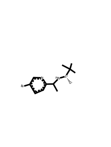 CC(N[S@@+]([O-])C(C)(C)C)c1ccc(Br)cn1